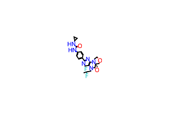 CC(F)(F)CN1C(=O)[C@@]2(C)COCCN2c2nc(-c3ccc(NC(=O)NC4CC4)cc3)ncc21